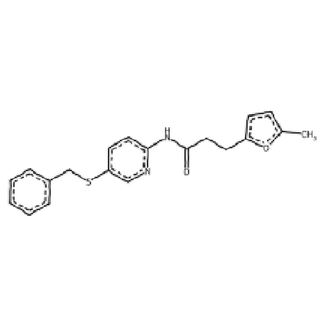 Cc1ccc(CCC(=O)Nc2ccc(SCc3ccccc3)cn2)o1